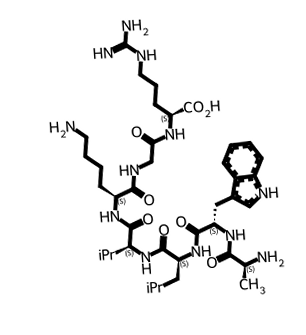 CC(C)C[C@H](NC(=O)[C@H](Cc1c[nH]c2ccccc12)NC(=O)[C@H](C)N)C(=O)N[C@H](C(=O)N[C@@H](CCCCN)C(=O)NCC(=O)N[C@@H](CCCNC(=N)N)C(=O)O)C(C)C